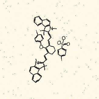 Cc1ccc(OC2=C(C=CC3=[N+](C)c4ccc5ccccc5c4C3(C)C)CCCC2=CC=C2N(C)c3ccc4ccccc4c3C2(C)C)cc1.Cc1ccc(S(=O)(=O)[O-])cc1